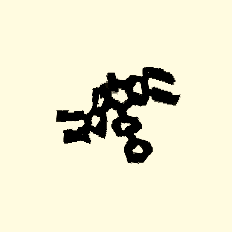 COc1cc2c(-c3ccc(-c4ccccc4)cc3)c3c4ccc(OC)c(OC)c4cc[n+]3c(C)c2cc1OC